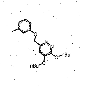 CCCCOc1cc(COc2cccc(C)c2)nnc1OCCCC